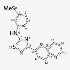 CSc1cccc(Nc2nc(-c3ccc4ccccc4c3)cs2)c1